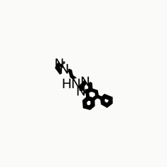 c1ccc(C2Cc3cnc(NCCCn4ccnc4)nc3-c3ccccc32)cc1